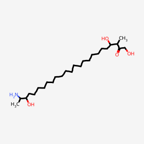 CC(N)C(O)CCCCCCCCCCCCCCCCCCC(O)C(C)C(=O)CO